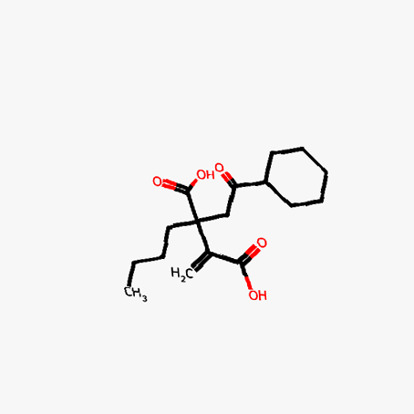 C=C(C(=O)O)C(CCCC)(CC(=O)C1CCCCC1)C(=O)O